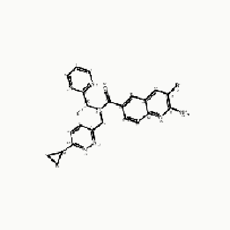 C[C@H](c1ncccn1)N(Cc1ccc(C2CC2)nn1)C(=O)c1ccc2nc(N)c(Br)cc2c1